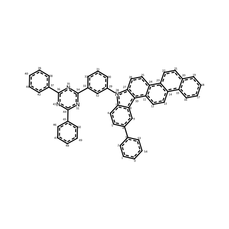 c1ccc(-c2ccc3c(c2)c2c4ccc5c6ccccc6ccc5c4ccc2n3-c2cccc(-c3nc(-c4ccccc4)nc(-c4ccccc4)n3)c2)cc1